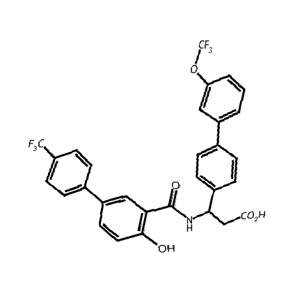 O=C(O)CC(NC(=O)c1cc(-c2ccc(C(F)(F)F)cc2)ccc1O)c1ccc(-c2cccc(OC(F)(F)F)c2)cc1